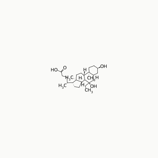 CC[C@@]1(O)C[C@@H]2C[C@H](O)CC[C@]2(C)[C@H]2CC[C@]3(C)[C@@H]([C@H](C)CCC(=O)O)CC[C@H]3[C@@H]21